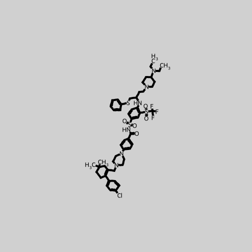 CCN(CC)C1CCN(CCC(CSc2ccccc2)Nc2ccc(S(=O)(=O)NC(=O)c3ccc(N4CCN(CC5=C(c6ccc(Cl)cc6)CCC(C)(C)C5)CC4)cc3)cc2S(=O)(=O)C(F)(F)F)CC1